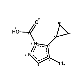 O=C(O)n1ncc(Cl)c1C1CC1